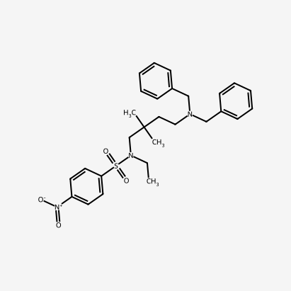 CCN(CC(C)(C)CCN(Cc1ccccc1)Cc1ccccc1)S(=O)(=O)c1ccc([N+](=O)[O-])cc1